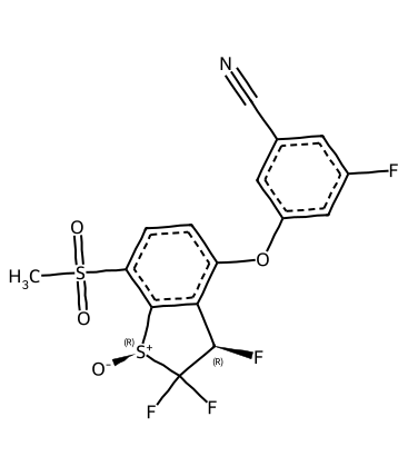 CS(=O)(=O)c1ccc(Oc2cc(F)cc(C#N)c2)c2c1[S@+]([O-])C(F)(F)[C@@H]2F